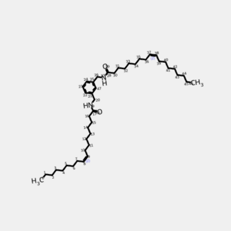 CCCCCCCC/C=C\CCCCCCCC(=O)NCc1cccc(CNC(=O)CCCCCCC/C=C\CCCCCCCC)c1